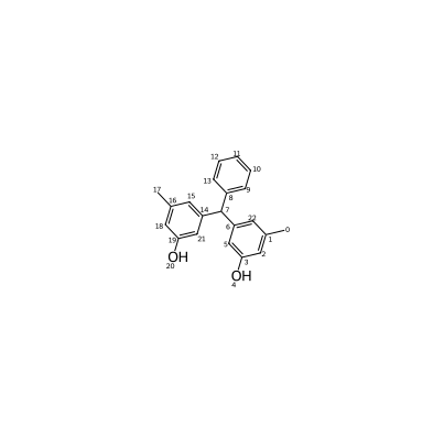 Cc1cc(O)cc(C(c2ccccc2)c2cc(C)cc(O)c2)c1